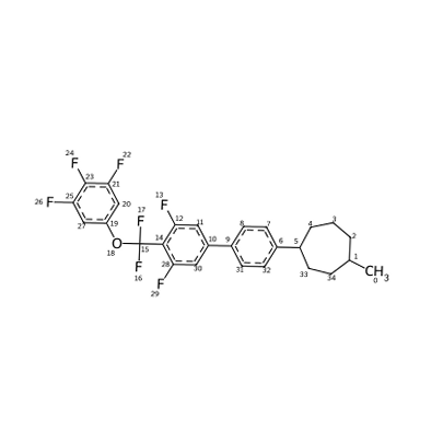 CC1CCCC(c2ccc(-c3cc(F)c(C(F)(F)Oc4cc(F)c(F)c(F)c4)c(F)c3)cc2)CC1